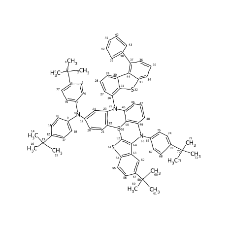 CC(C)(C)c1ccc(N(c2ccc(C(C)(C)C)cc2)c2ccc3c(c2)N(c2cccc4c2sc2cccc(-c5ccccc5)c24)c2cccc4c2B3c2sc3ccc(C(C)(C)C)cc3c2N4c2ccc(C(C)(C)C)cc2)cc1